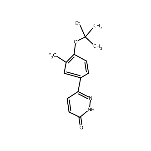 CCC(C)(C)Oc1ccc(-c2ccc(=O)[nH]n2)cc1C(F)(F)F